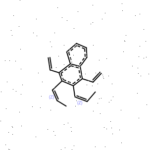 C=Cc1c(/C=C\C)c(/C=C\C)c(C=C)c2ccccc12